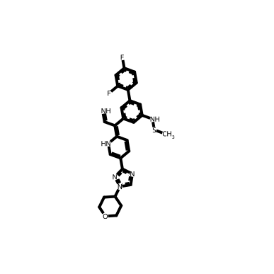 CSNc1cc(/C(C=N)=C2\C=CC(c3ncn(C4CCOCC4)n3)=CN2)cc(-c2ccc(F)cc2F)c1